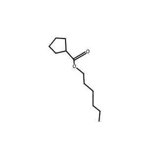 [CH2]CCCCCOC(=O)C1CCCC1